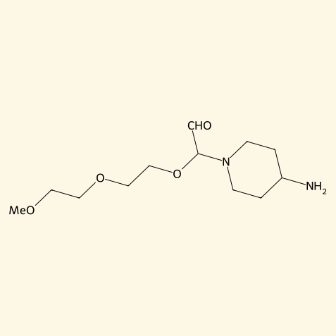 COCCOCCOC(C=O)N1CCC(N)CC1